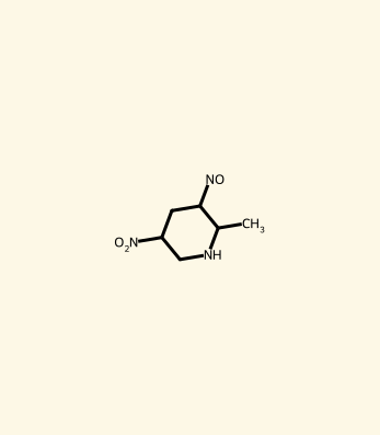 CC1NCC([N+](=O)[O-])CC1N=O